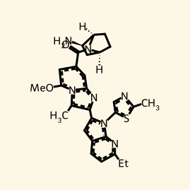 CCc1ccc2cc(-c3nc4cc(C(=O)N5[C@H]6CC[C@@H]5[C@H](N)C6)cc(OC)n4c3C)n(-c3cnc(C)s3)c2n1